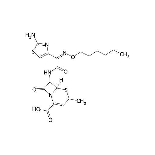 CCCCCCO/N=C(\C(=O)NC1C(=O)N2C(C(=O)O)=CC(C)S[C@H]12)c1csc(N)n1